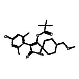 COCC1CCC2(CC1)NC(=O)C(c1c(C)cc(Cl)cc1C)=C2OC(=O)C(C)(C)C